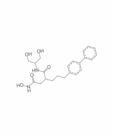 O=C(CC(CCCc1ccc(-c2ccccc2)cc1)C(=O)NC(CO)CO)NO